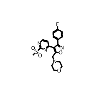 CS(=O)(=O)c1nccc(-c2c(-c3ccc(F)cc3)noc2CN2CCOCC2)n1